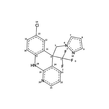 FC(F)(F)C1(Cn2cccn2)c2cc(Cl)ccc2Nc2ncccc21